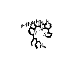 C=C/C(=C\C(=C/C)c1ccc2[nH]nc(-c3nc4c(-c5cccs5)ccnc4[nH]3)c2n1)CN(C)C